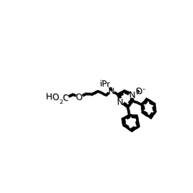 CC(C)N(CCCCOCC(=O)O)c1c[n+]([O-])c(-c2ccccc2)c(-c2ccccc2)n1